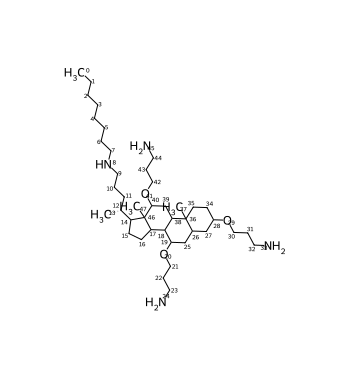 CCCCCCCCNCCC[C@@H](C)C1CCC2C3C(OCCCN)CC4CC(OCCCN)CCC4(C)C3CC(OCCCN)C21C